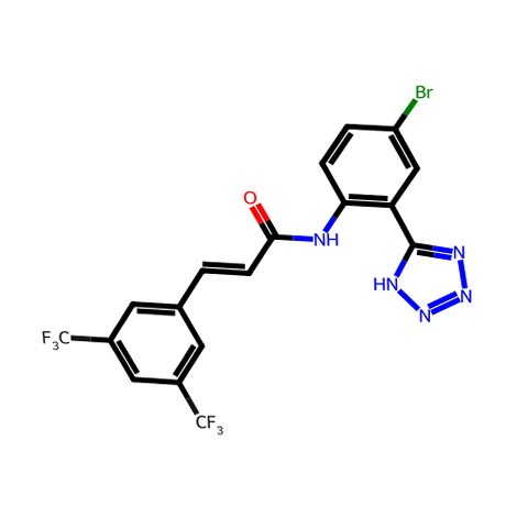 O=C(/C=C/c1cc(C(F)(F)F)cc(C(F)(F)F)c1)Nc1ccc(Br)cc1-c1nnn[nH]1